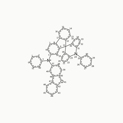 c1ccc(N(c2ccc3c(c2)C2(c4ccccc4-3)c3ccccc3N(c3ccccc3)c3ccccc32)c2ccc3oc4ccccc4c3c2)cc1